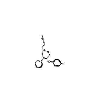 N#CCCN1CC[C@H](Oc2ccc(F)cc2)[C@@H](c2ccccc2)C1